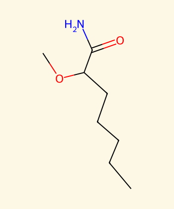 CCCCCC(OC)C(N)=O